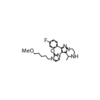 COCCCCCn1ccn(-c2c(-c3ccc(F)cc3)nn3c2C(C)NCC3)c1=O